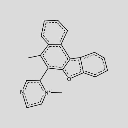 Cc1c(-c2cncc[n+]2C)c2oc3ccccc3c2c2ccccc12